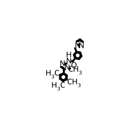 Cc1cc(C)c(-c2cnc(NC(=O)c3cccc(Cn4cccn4)c3)n2C)cc1C